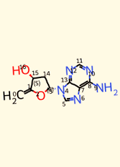 C=C1O[C@@H](n2cnc3c(N)ncnc32)C[C@@H]1O